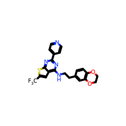 FC(F)(F)c1cc2c(NCCc3ccc4c(c3)OCCO4)nc(-c3ccncc3)nc2s1